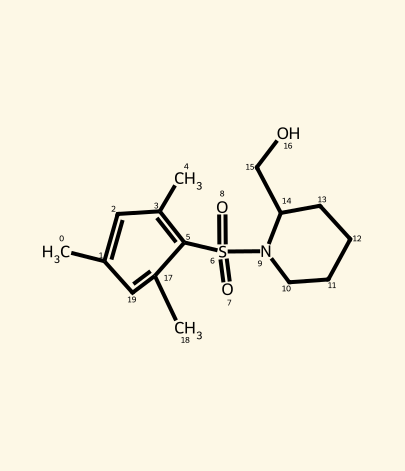 Cc1cc(C)c(S(=O)(=O)N2CCCCC2CO)c(C)c1